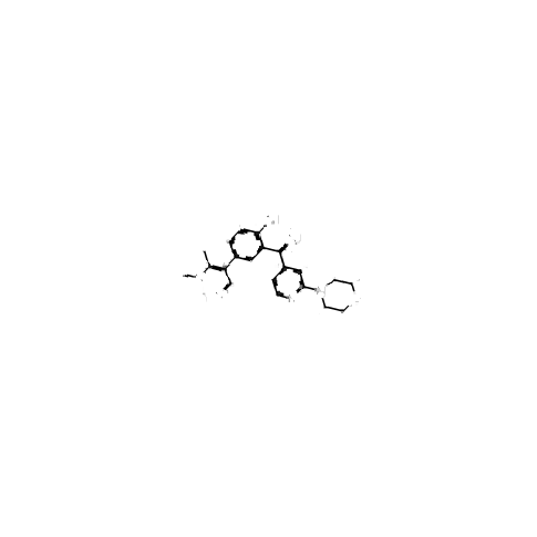 CN/C(C)=C(\C=N)c1ccc(N)c(C(=N)c2ccnc(N3CCOCC3)c2)c1